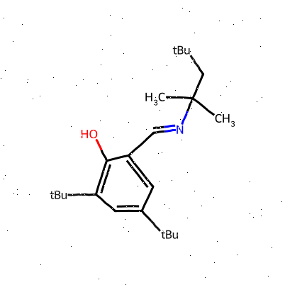 CC(C)(C)CC(C)(C)/N=C/c1cc(C(C)(C)C)cc(C(C)(C)C)c1O